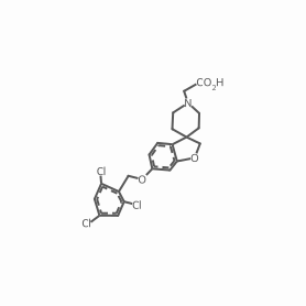 O=C(O)CN1CCC2(CC1)COc1cc(OCc3c(Cl)cc(Cl)cc3Cl)ccc12